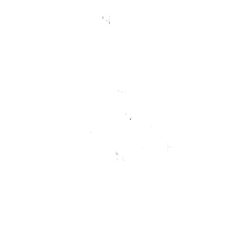 [C-]#[N+]c1ccc(N2C(=O)C(C)(CC)N(c3ccc(C)cc3)C2=S)cc1C